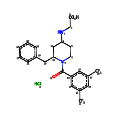 Cl.O=C(O)CNC1CCN(C(=O)c2cc(C(F)(F)F)cc(C(F)(F)F)c2)C(Cc2ccccc2)C1